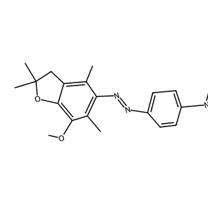 COc1c(C)c(N=Nc2ccc([N+](=O)[O-])cc2)c(C)c2c1OC(C)(C)C2